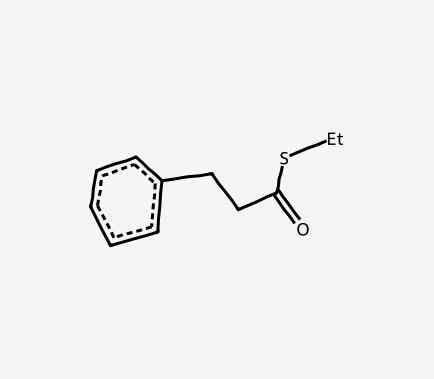 CCSC(=O)CCc1ccccc1